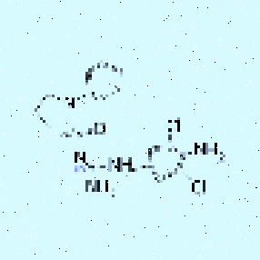 N/C(=N/C(=O)[C@@H]1CCCN1c1ccccc1)NCc1cc(Cl)c(N)c(Cl)c1